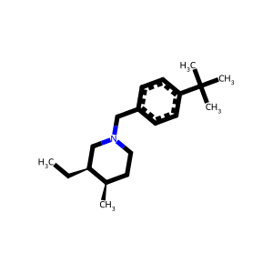 CC[C@H]1CN(Cc2ccc(C(C)(C)C)cc2)CC[C@H]1C